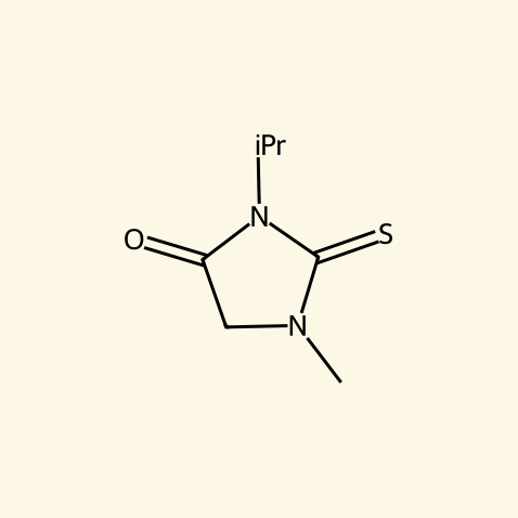 CC(C)N1C(=O)CN(C)C1=S